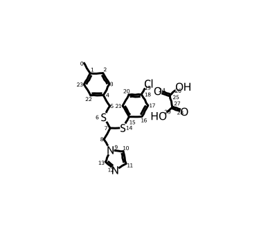 Cc1ccc(CSC(Cn2ccnc2)Sc2ccc(Cl)cc2)cc1.O=C(O)C(=O)O